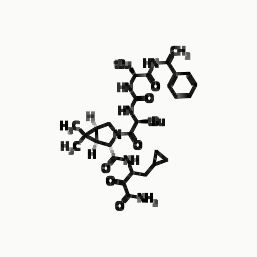 C=C(NC(=O)[C@@H](NC(=O)N[C@H](C(=O)N1C[C@H]2[C@@H]([C@H]1C(=O)NC(CC1CC1)C(=O)C(N)=O)C2(C)C)C(C)(C)C)C(C)(C)C)c1ccccc1